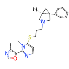 Cc1ncoc1C1=NC=C=C(SCCCN2C[C@H]3C[C@@]3(c3ccccc3)C2)N1C